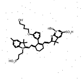 CCCC[n+]1cc(S(=O)(=O)O)cc2c1N=C(/C=C/C1=C(c3cccc(OCCCCO)c3)C(=C/C=C3/N(CCCS(=O)(=O)O)c4ccc(C)cc4C3(C)C)/CCC1)C2(C)C